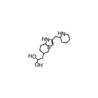 OC(O)CC1CCC2NC(CC3CCCCN3)=CB2C1